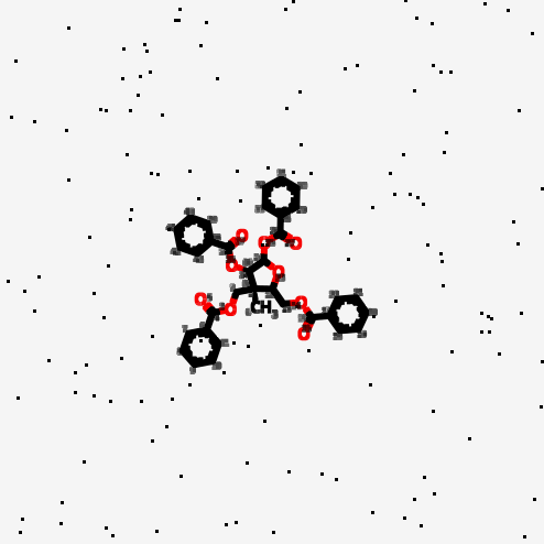 C[C@]1(COC(=O)c2ccccc2)C(COC(=O)c2ccccc2)OC(OC(=O)c2ccccc2)[C@@H]1OC(=O)c1ccccc1